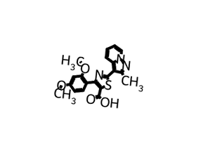 COc1ccc(-c2nc(-c3c(C)nn4ccccc34)sc2C(=O)O)c(OC)c1